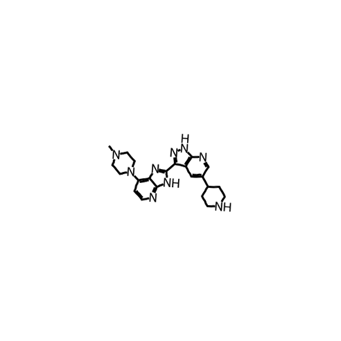 CN1CCN(c2ccnc3[nH]c(-c4n[nH]c5ncc(C6CCNCC6)cc45)nc23)CC1